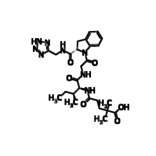 CC[C@H](C)[C@H](NC(=O)CCC(C)(C)C(=O)O)C(=O)NCC(=O)N1c2ccccc2C[C@H]1C(=O)NCc1nn[nH]n1